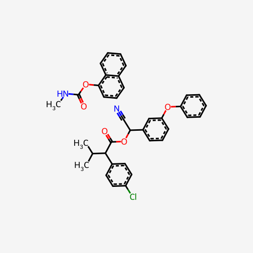 CC(C)C(C(=O)OC(C#N)c1cccc(Oc2ccccc2)c1)c1ccc(Cl)cc1.CNC(=O)Oc1cccc2ccccc12